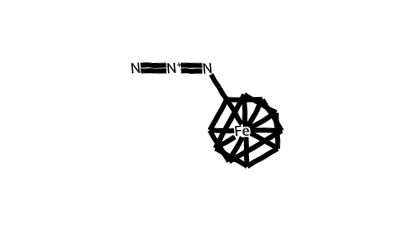 [N-]=[N+]=N[C]12[CH]3[CH]4[CH]5[CH]1[Fe]45321678[CH]2[CH]1[CH]6[CH]7[CH]28